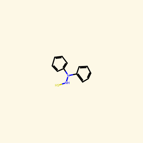 SNN(c1ccccc1)c1ccccc1